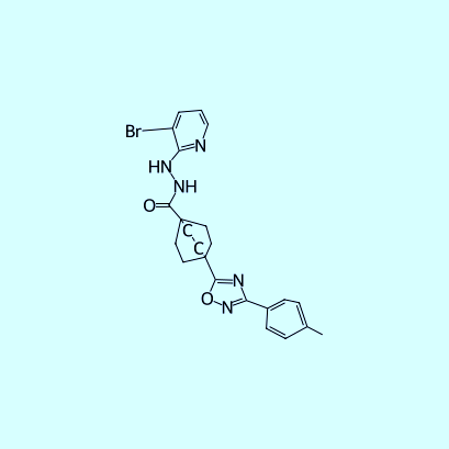 Cc1ccc(-c2noc(C34CCC(C(=O)NNc5ncccc5Br)(CC3)CC4)n2)cc1